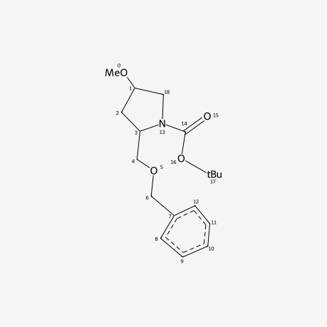 COC1CC(COCc2ccccc2)N(C(=O)OC(C)(C)C)C1